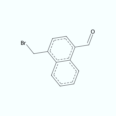 O=Cc1ccc(CBr)c2ccccc12